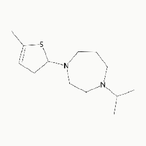 CC1=CCC(N2CCCN(C(C)C)CC2)S1